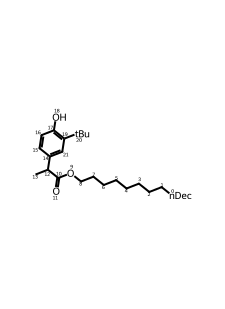 CCCCCCCCCCCCCCCCCCOC(=O)C(C)c1ccc(O)c(C(C)(C)C)c1